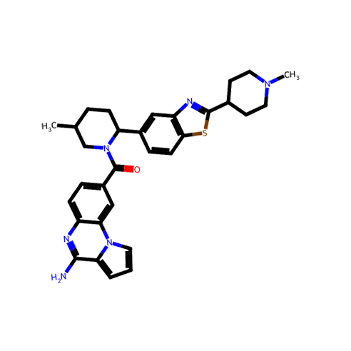 CC1CCC(c2ccc3sc(C4CCN(C)CC4)nc3c2)N(C(=O)c2ccc3nc(N)c4cccn4c3c2)C1